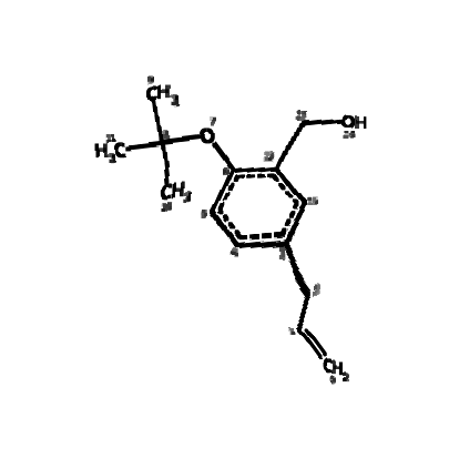 C=CCc1ccc(OC(C)(C)C)c(CO)c1